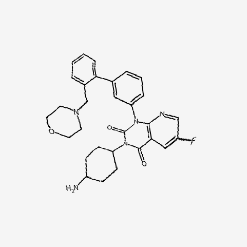 NC1CCC(n2c(=O)c3cc(F)cnc3n(-c3cccc(-c4ccccc4CN4CCOCC4)c3)c2=O)CC1